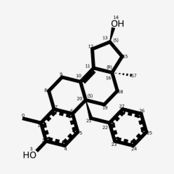 Cc1c(O)ccc2c1CCC1=C3C[C@@H](O)C[C@@]3(C)CC[C@@]12Cc1ccccc1